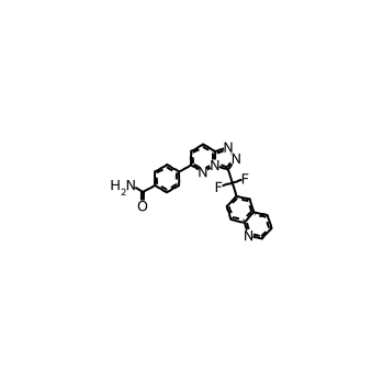 NC(=O)c1ccc(-c2ccc3nnc(C(F)(F)c4ccc5ncccc5c4)n3n2)cc1